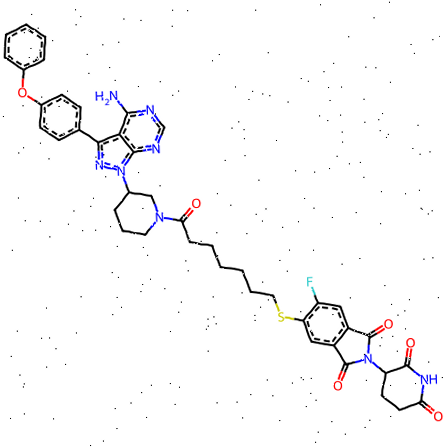 Nc1ncnc2c1c(-c1ccc(Oc3ccccc3)cc1)nn2C1CCCN(C(=O)CCCCCCSc2cc3c(cc2F)C(=O)N(C2CCC(=O)NC2=O)C3=O)C1